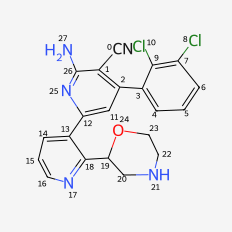 N#Cc1c(-c2cccc(Cl)c2Cl)cc(-c2cccnc2C2CNCCO2)nc1N